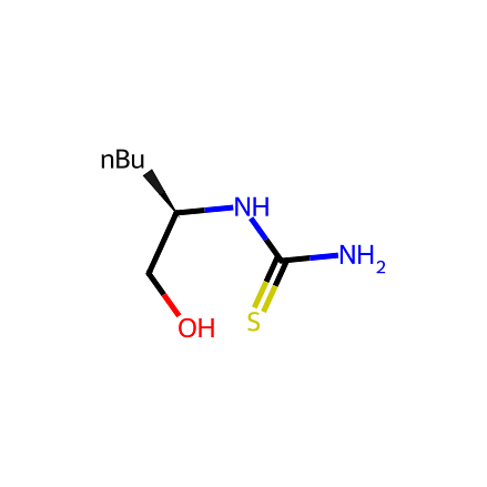 CCCC[C@H](CO)NC(N)=S